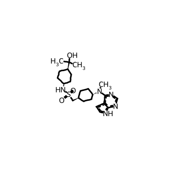 CN(c1ncnc2[nH]ccc12)[C@H]1CC[C@H](CS(=O)(=O)N[C@H]2CC[C@H](C(C)(C)O)CC2)CC1